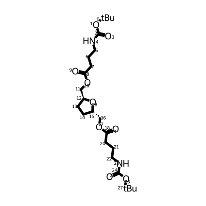 CC(C)(C)OC(=O)NCCCC(=O)OC[C@@H]1CC[C@@H](COC(=O)CCCNC(=O)OC(C)(C)C)O1